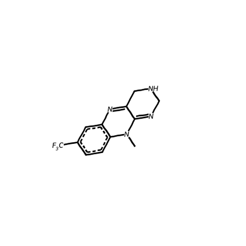 CN1C2=NCNCC2=Nc2cc(C(F)(F)F)ccc21